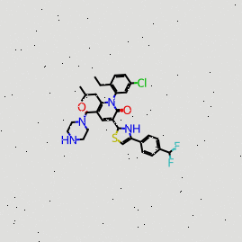 CCc1ccc(Cl)cc1-n1c(CC(C)C)c(C(=O)N2CCNCC2)cc(C2NC(c3ccc(C(F)F)cc3)=CS2)c1=O